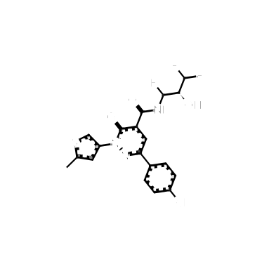 Cc1cc(-n2nc(-c3ccc(Cl)cc3)cc(C(=O)NC(F)[C@H](O)C(F)F)c2=O)cs1